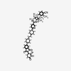 Cc1cc(O[C@H]2C(C)(C)[C@H](NC(=O)c3ccc(N4CCC(CCN5CCN(c6ccc7c(c6)C(=O)N(C6CCC(=O)NC6=O)C7=O)CC5)CC4)nc3)C2(C)C)ccc1C#N